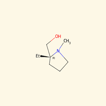 CC[C@]1(CO)CCCN1C